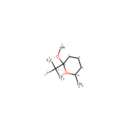 CCCOC1(C(F)(C(F)(F)F)C(F)(F)F)CCCC(C)O1